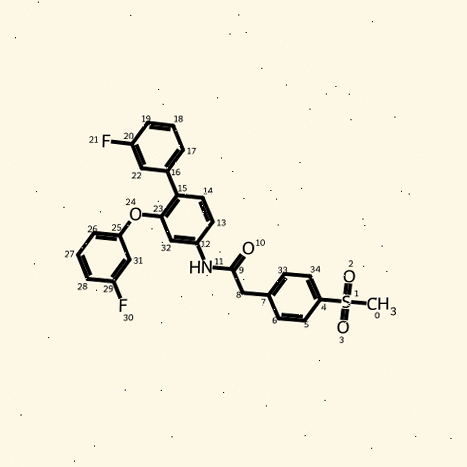 CS(=O)(=O)c1ccc(CC(=O)Nc2ccc(-c3cccc(F)c3)c(Oc3cccc(F)c3)c2)cc1